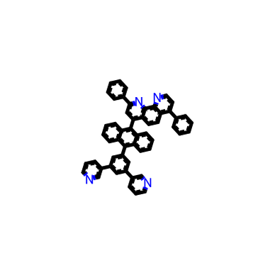 c1ccc(-c2cc(-c3c4ccccc4c(-c4cc(-c5cccnc5)cc(-c5cccnc5)c4)c4ccccc34)c3ccc4c(-c5ccccc5)ccnc4c3n2)cc1